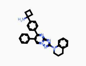 NC1(c2ccc(-c3nc4nc(N5CCCc6ccccc65)nn4cc3-c3ccccc3)cc2)CCC1